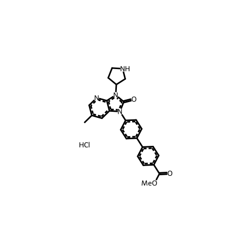 COC(=O)c1ccc(-c2ccc(-n3c(=O)n(C4CCNC4)c4ncc(C)cc43)cc2)cc1.Cl